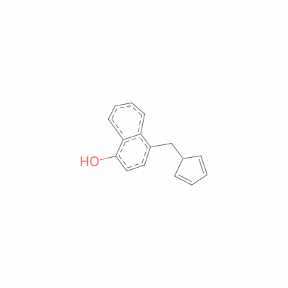 Oc1ccc(CC2C=CC=C2)c2ccccc12